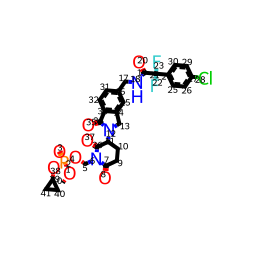 COP(=O)(OCN1C(=O)CCC(N2Cc3cc(CNC(=O)C(F)(F)c4ccc(Cl)cc4)ccc3C2=O)C1=O)OC1CC1